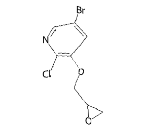 Clc1ncc(Br)cc1OCC1CO1